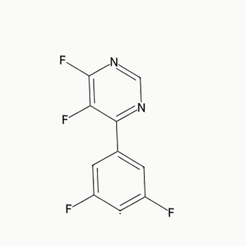 Fc1[c]c(F)cc(-c2ncnc(F)c2F)c1